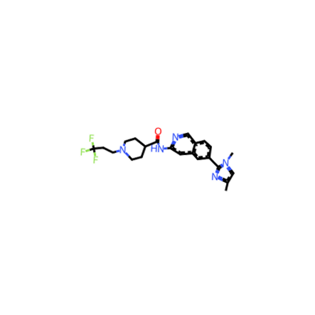 Cc1cn(C)c(-c2ccc3cnc(NC(=O)C4CCN(CCC(F)(F)F)CC4)cc3c2)n1